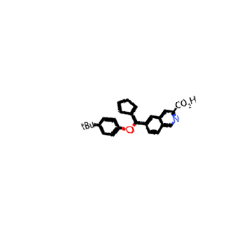 CC(C)(C)c1ccc(OC(c2ccc3cnc(C(=O)O)cc3c2)C2CCCC2)cc1